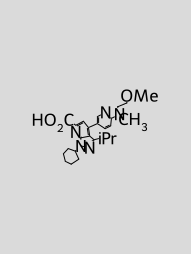 COCCN(C)c1ccc(-c2cc(C(=O)O)nc3c2c(C(C)C)nn3C2CCCCC2)cn1